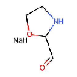 O=CC1NCCO1.[NaH]